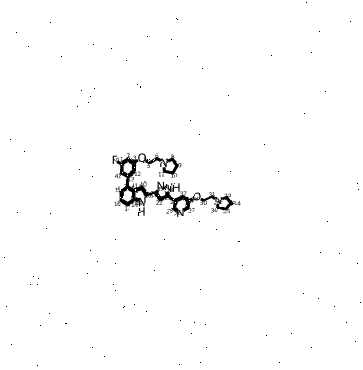 Fc1cc(OCCN2CCCC2)cc(-c2cccc3[nH]c(-c4cc(-c5cncc(OCCN6CCCC6)c5)[nH]n4)cc23)c1